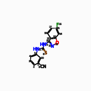 N#Cc1cccc(NC(=S)Nc2noc3cc(F)ccc23)c1